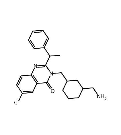 CC(c1ccccc1)c1nc2ccc(Cl)cc2c(=O)n1CC1CCCC(CN)C1